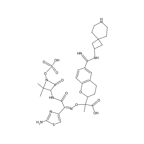 CC(ON=C(C(=O)NC1C(=O)N(OS(=O)(=O)O)C1(C)C)c1csc(N)n1)(C(=O)O)C1CCc2cc(C(=N)NC3CC4(CCNCC4)C3)ccc2O1